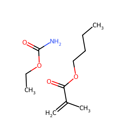 C=C(C)C(=O)OCCCC.CCOC(N)=O